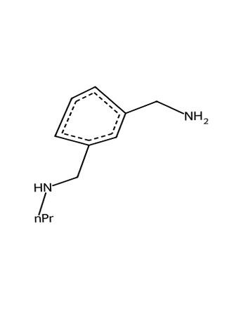 CCCNCc1cccc(CN)c1